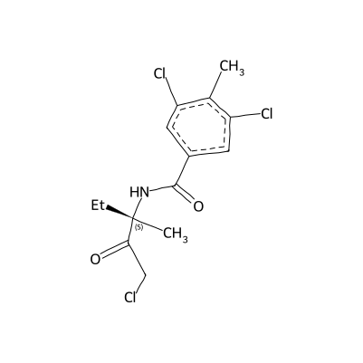 CC[C@](C)(NC(=O)c1cc(Cl)c(C)c(Cl)c1)C(=O)CCl